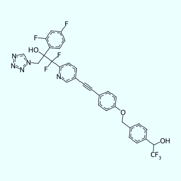 OC(c1ccc(COc2ccc(C#Cc3ccc(C(F)(F)C(O)(Cn4cnnn4)c4ccc(F)cc4F)nc3)cc2)cc1)C(F)(F)F